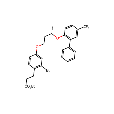 CCOC(=O)CCc1ccc(OCC[C@H](C)Oc2ccc(C(F)(F)F)cc2-c2ccccc2)cc1CC